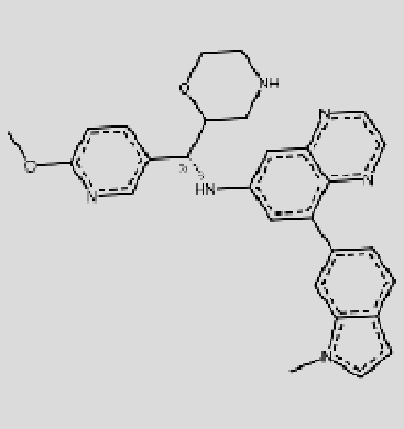 COc1ccc([C@@H](Nc2cc(-c3ccc4ccn(C)c4c3)c3nccnc3c2)C2CNCCO2)cn1